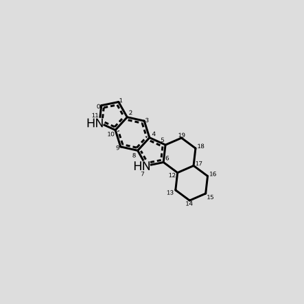 c1cc2cc3c4c([nH]c3cc2[nH]1)C1CCCCC1CC4